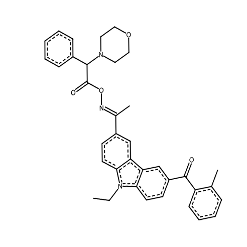 CCn1c2ccc(C(=O)c3ccccc3C)cc2c2cc(/C(C)=N/OC(=O)C(c3ccccc3)N3CCOCC3)ccc21